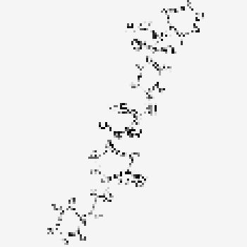 CN(c1ccccc1)S(=O)(=O)c1ccc(NC(=S)NC(=O)c2ccc(OCCc3ccccc3)c(Br)c2)cc1